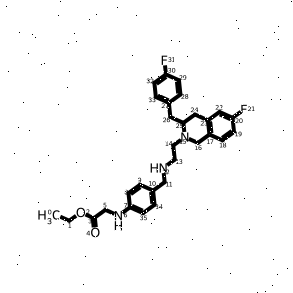 CCOC(=O)CNc1ccc(CNCCN2Cc3ccc(F)cc3CC2Cc2ccc(F)cc2)cc1